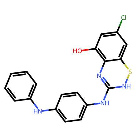 Oc1cc(Cl)cc2c1N=C(Nc1ccc(Nc3ccccc3)cc1)NS2